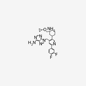 Nc1ncnc2c1ncn2Cc1cc(-c2ccc(F)c(F)c2)ncc1C1CCC[C@](N)(COC2CC2)C1